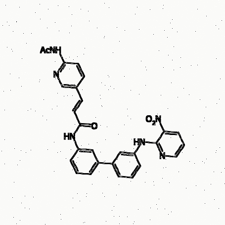 CC(=O)Nc1ccc(/C=C/C(=O)Nc2cccc(-c3cccc(Nc4ncccc4[N+](=O)[O-])c3)c2)cn1